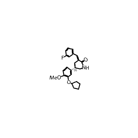 COc1ccc([C@H]2CNC(=O)C(=Cc3cccc(F)c3)C2)cc1OC1CCCC1